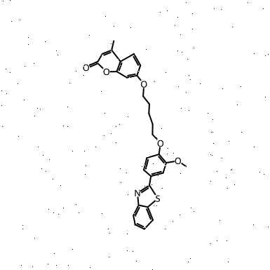 COc1cc(-c2nc3ccccc3s2)ccc1OCCCCCOc1ccc2c(C)cc(=O)oc2c1